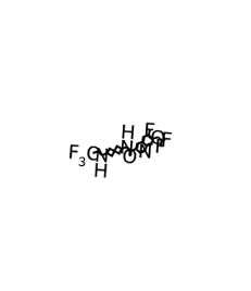 O=C(NC1CC2(CC(NCC(F)(F)F)C2)C1)c1cnc2cc(OC(F)F)c(F)cc2c1